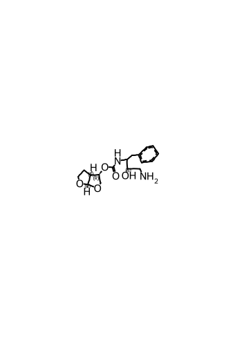 NC[C@H](O)C(Cc1ccccc1)NC(=O)O[C@H]1CO[C@H]2OCC[C@H]21